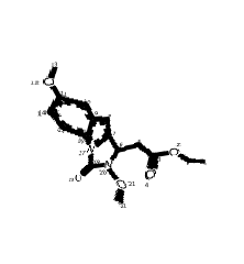 CCOC(=O)CC1c2cc3cc(OC)ccc3n2C(=O)N1OC